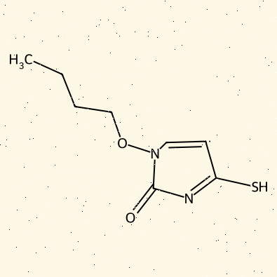 CCCCOn1c[c]c(S)nc1=O